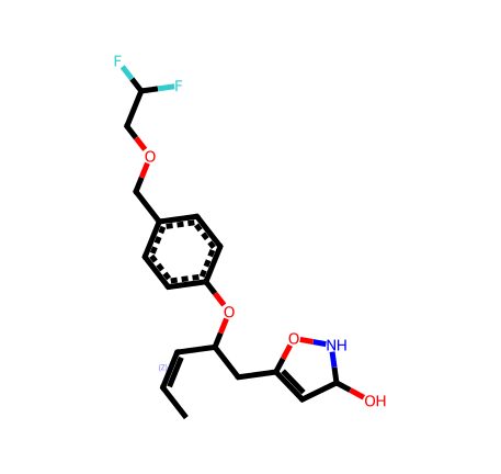 C/C=C\C(CC1=CC(O)NO1)Oc1ccc(COCC(F)F)cc1